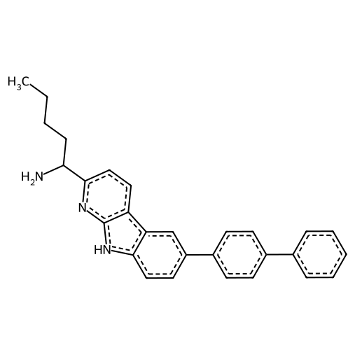 CCCCC(N)c1ccc2c(n1)[nH]c1ccc(-c3ccc(-c4ccccc4)cc3)cc12